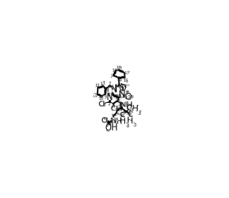 Cc1c(Cl)nc(N(Cc2ccccc2)Cc2ccccc2)c([N+](=O)[O-])c1NC(CCCNC(=O)O)C(C)(C)C